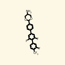 NC1COC(c2ccc(-c3cc(F)c(-c4ccc(C(F)(F)F)c(F)c4)c(F)c3)cc2)OC1